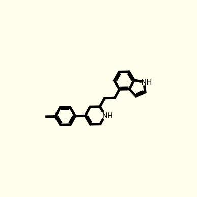 Cc1ccc(C2=CCNC(CCc3cccc4[nH]ccc34)C2)cc1